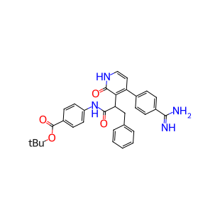 CC(C)(C)OC(=O)c1ccc(NC(=O)C(Cc2ccccc2)c2c(-c3ccc(C(=N)N)cc3)cc[nH]c2=O)cc1